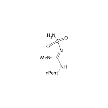 CCCCCN/C(=N/S(N)(=O)=O)NC